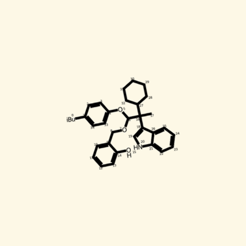 CCC(C)c1ccc(OC(OCc2ccccc2O)C(C)(c2c[nH]c3ccccc23)C2CCCCC2)cc1